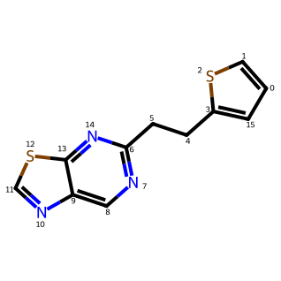 c1csc(CCc2ncc3ncsc3n2)c1